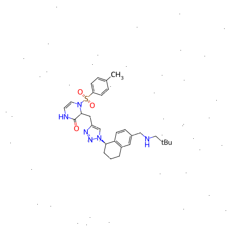 Cc1ccc(S(=O)(=O)N2C=CNC(=O)C2Cc2cn([C@@H]3CCCc4cc(CNCC(C)(C)C)ccc43)nn2)cc1